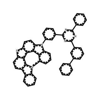 c1ccc(-c2cccc(-c3nc(-c4ccccc4)nc(-c4cccc(-n5c6ccc7sc8ccc9c%10ccccc%10n%10c%11cccc5c%11c6c7c8c9%10)c4)n3)c2)cc1